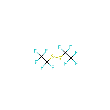 FC(F)(F)C(F)(F)SSC(F)(F)C(F)(F)F